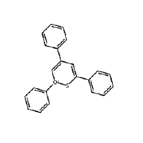 C1=C(c2ccccc2)C=C(c2ccccc2)S[O+]1c1ccccc1